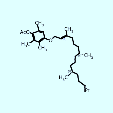 CC(=O)Oc1c(C)cc(OC/C=C(\C)CCC[C@H](C)CCC[C@H](C)CCCC(C)C)c(C)c1C